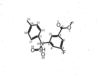 COC(=O)c1cc(F)cc(N(c2ccc(C)cc2)[SH](=O)=O)c1